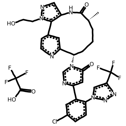 C[C@@H]1CCC[C@H](n2cnc(-c3cc(Cl)ccc3-n3cc(C(F)(F)F)nn3)cc2=O)c2cc(ccn2)-c2c(cnn2CCO)NC1=O.O=C(O)C(F)(F)F